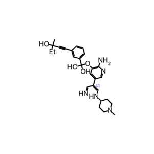 CCC(C)(O)C#Cc1cccc(C(O)(O)Oc2cc(/C(C=N)=C/NC3CCN(C)CC3)cnc2N)c1